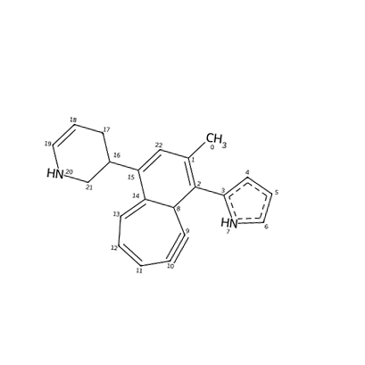 CC1=C(c2ccc[nH]2)C2C#CC=CC=C2C(C2CC=CNC2)=C1